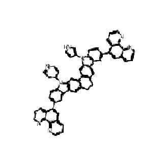 C1=CC(n2c3ccc(-c4cc5cccnc5c5ncccc45)cc3c3cc4c(cc32)-c2cc3c(cc2CC4)c2cc(-c4cc5cccnc5c5ncccc45)ccc2n3-c2cc[nH]c2)CC=N1